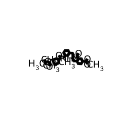 COC(=O)c1ccc2ccn(Cc3cccc(NC(=O)C4(C)CCN(C(=O)OC(C)(C)C)CC4)c3)c(=O)c2c1